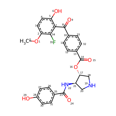 COc1ccc(O)c(C(=O)c2ccc(C(=O)O[C@@H]3CNC[C@H]3NC(=O)c3ccc(O)cc3)cc2)c1F